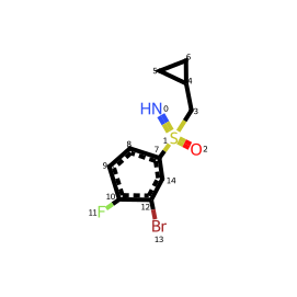 N=S(=O)(CC1CC1)c1ccc(F)c(Br)c1